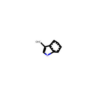 O=CC1=C[N]c2ccccc21